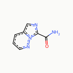 NC(=O)c1ncc2cccnn12